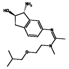 CC(=Nc1ccc2c(c1)[C@@H](N)[C@H](O)C2)N(C)CCOCC(C)C